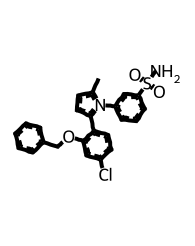 Cc1ccc(-c2ccc(Cl)cc2OCc2ccccc2)n1-c1cccc(S(N)(=O)=O)c1